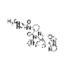 Cc1nn2cccnc2c1C(=O)NC(C)c1nc2cccc(NC(=O)c3cnn(C)c3)c2c(=O)n1-c1ccccc1